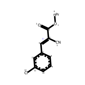 CCCOC(=O)/C(C#N)=C/c1cccc(Cl)c1